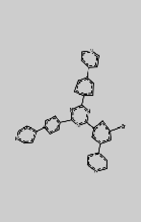 Brc1cc(-c2ccncc2)cc(-c2nc(-c3ccc(-c4ccncc4)cc3)nc(-c3ccc(-c4ccncc4)cc3)n2)c1